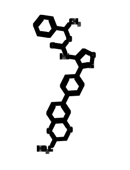 CC(OC(=O)Nc1conc1-c1ccc(-c2ccc3c(c2)OCC(C(=O)O)O3)cc1)c1ccccc1